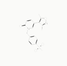 Cc1noc(C)c1-c1ccc(=O)n(Cc2ccc(S(C)(=O)=O)cc2)c1